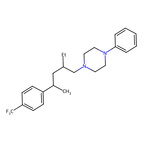 CCC(CC(C)c1ccc(C(F)(F)F)cc1)CN1CCN(c2ccccc2)CC1